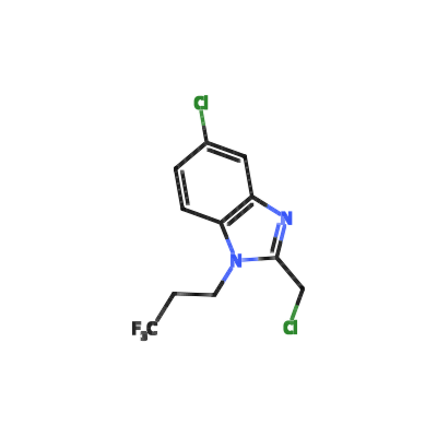 FC(F)(F)CCn1c(CCl)nc2cc(Cl)ccc21